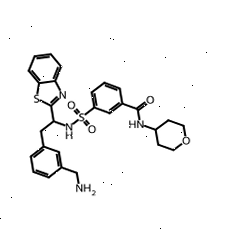 NCc1cccc(CC(NS(=O)(=O)c2cccc(C(=O)NC3CCOCC3)c2)c2nc3ccccc3s2)c1